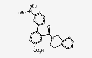 CCCCN(CCCC)c1nccc(-c2ccc(C(=O)O)cc2C(=O)N2CCc3ccccc3C2)n1